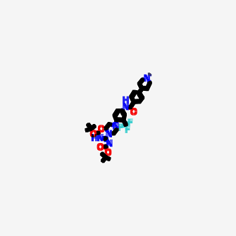 CN1CC=C(c2ccc(C(=O)Nc3ccc(N4CCN(C(=NC(=O)OC(C)(C)C)NC(=O)OC(C)(C)C)CC4)c(C(F)(F)F)c3)cc2)CC1